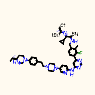 B=C(NCc1ccc(-c2cc(Nc3ccc(N4CCN(CCc5ccc(N6CC/C(=C/C)NC6)cc5)CC4)cn3)ncn2)c(F)c1C)/C(=N/C(=C\CC)C(C)(C)C)C1CC1